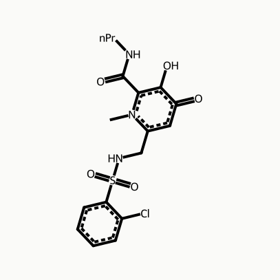 CCCNC(=O)c1c(O)c(=O)cc(CNS(=O)(=O)c2ccccc2Cl)n1C